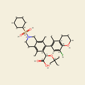 Cc1c(-c2c(C)c3c(c(C)c2[C@@H](OC(C)(C)C)C(=O)O)CCN(S(=O)(=O)C2CCCCC2)C3)cc(F)c2c1CCCO2